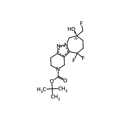 CC(C)(C)OC(=O)N1CCc2nn3c(c2C1)C(F)(F)CC[C@@](O)(CF)C3